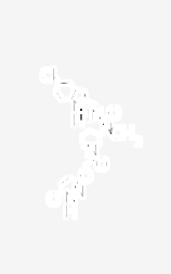 CN(C(=O)NCc1cc2cc(Cl)ccc2[nH]1)[C@@H]1CCCN(C(=O)COc2ccc(=O)[nH]n2)C1